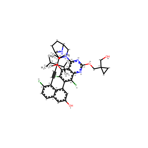 COc1c(F)c(-c2cc(O)cc3ccc(F)c(C#C[Si](C(C)C)(C(C)C)C(C)C)c23)c(F)c2nc(OCC3(CO)CC3)nc(N3CC4CCC(C3)N4)c12